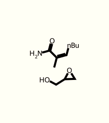 CCCCC=C(C)C(N)=O.OCC1CO1